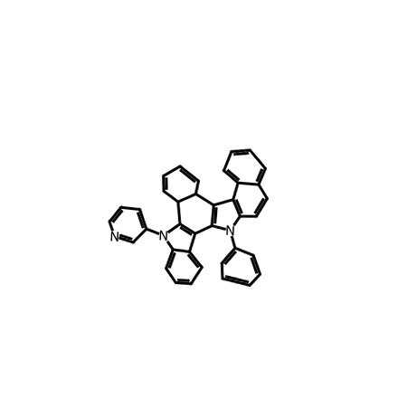 C1=CC2c3c(n(-c4ccccc4)c4ccc5ccccc5c34)-c3c(n(-c4cccnc4)c4ccccc34)C2C=C1